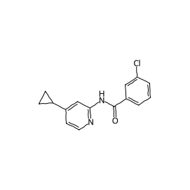 O=C(Nc1cc(C2CC2)ccn1)c1cccc(Cl)c1